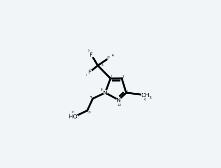 Cc1cc(C(F)(F)F)n(CCO)n1